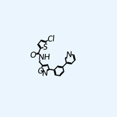 O=C(NCc1cc(-c2cccc(-c3cccnc3)c2)no1)c1ccc(Cl)s1